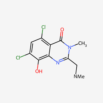 CNCc1nc2c(O)c(Cl)cc(Cl)c2c(=O)n1C